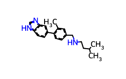 Cc1cc(CNCCC(C)C)ccc1-c1ccc2[nH]cnc2c1